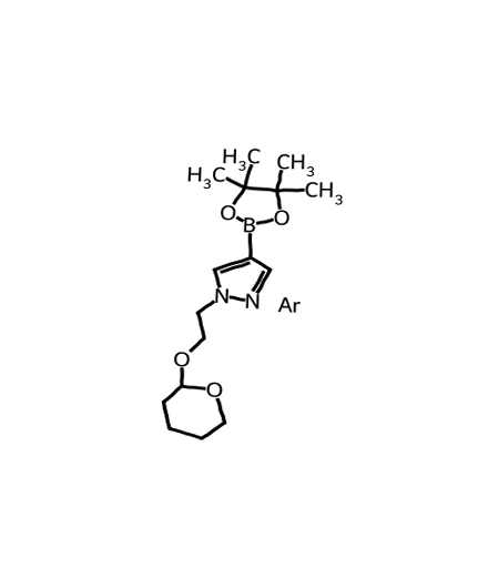 CC1(C)OB(c2cnn(CCOC3CCCCO3)c2)OC1(C)C.[Ar]